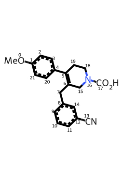 COc1ccc(C2=C(Cc3cccc(C#N)c3)CN(C(=O)O)CC2)cc1